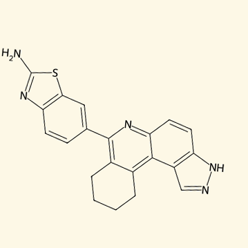 Nc1nc2ccc(-c3nc4ccc5[nH]ncc5c4c4c3CCCC4)cc2s1